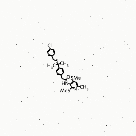 CSc1cc(C)nc(SC)c1NC(=O)Cc1ccc(C(C)(C)SCc2ccc(Cl)cc2)cc1